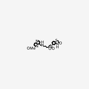 COc1ccc2nccc(CNCCCC3CN(c4ccc5c(c4)NC(=O)CS5)C(=O)O3)c2n1